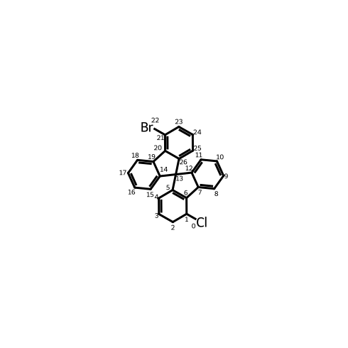 ClC1CC=CC2=C1c1ccccc1C21c2ccccc2-c2c(Br)cccc21